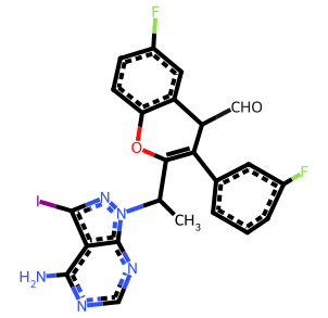 CC(C1=C(c2cccc(F)c2)C(C=O)c2cc(F)ccc2O1)n1nc(I)c2c(N)ncnc21